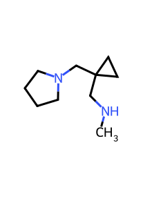 CNCC1(CN2CCCC2)CC1